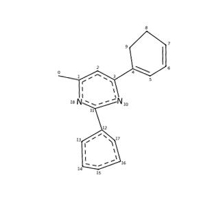 Cc1cc(C2=CC=CCC2)nc(-c2ccccc2)n1